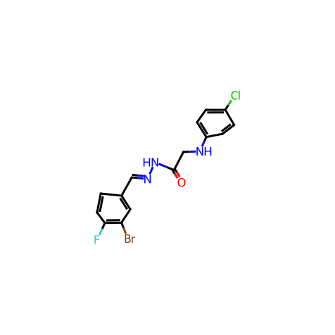 O=C(CNc1ccc(Cl)cc1)N/N=C/c1ccc(F)c(Br)c1